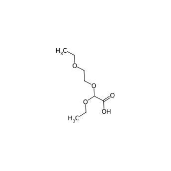 CCOCCOC(OCC)C(=O)O